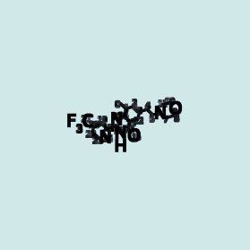 Cc1cc(CCN2CCOCC2)cc2c(=O)[nH]c(-c3cc(C(F)(F)F)ccn3)nc12